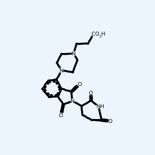 O=C(O)CCN1CCN(c2cccc3c2C(=O)N(C2CCC(=O)NC2=O)C3=O)CC1